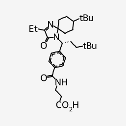 CCC1=NC2(CCC(C(C)(C)C)CC2)N([C@H](CCC(C)(C)C)c2ccc(C(=O)NCCC(=O)O)cc2)C1=O